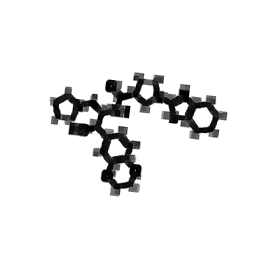 O=C(N[C@H](CN1CCCC1)[C@H](O)c1ccc2c(c1)OCCO2)[C@H]1CCN(c2nc3c(s2)CCCC3)C1